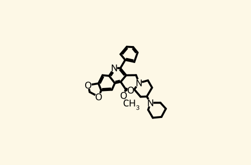 COC(=O)c1c(CN2CCC(N3CCCCC3)CC2)c(-c2ccccc2)nc2cc3c(cc12)OCO3